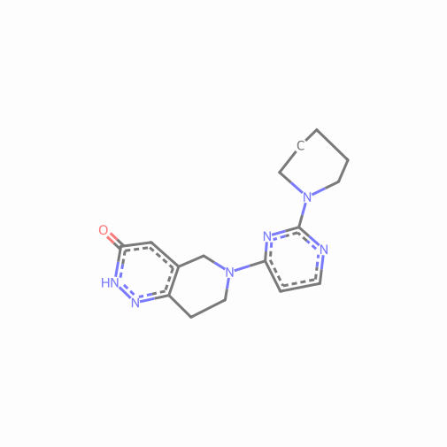 O=c1cc2c(n[nH]1)CCN(c1ccnc(N3CCCCC3)n1)C2